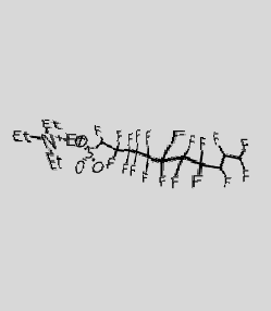 CC[N+](CC)(CC)CC.O=S(=O)([O-])C(F)C(F)(F)C(F)(F)C(F)(F)C(F)(F)C(F)(F)C(F)(F)C(F)(F)C(F)C(F)C(F)F